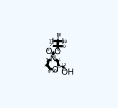 CC(C)(OC(=O)N1CCCO[C@H](CO)C1)C(I)(I)I